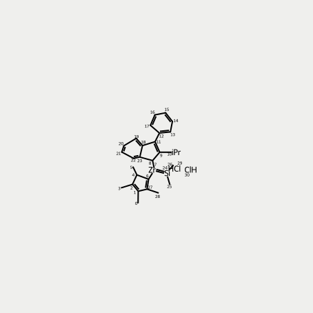 CC1=C(C)C(C)[C]([Zr]([CH]2C(C(C)C)=C(c3ccccc3)c3ccccc32)=[Si](C)C)=C1C.Cl.Cl